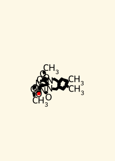 CCOC(=O)C12N3COCN1C(=O)N1Cc4cc(C)c(C)cc4CN(C3=O)C12C(=O)OCC